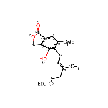 CCOC(=O)CC/C(C)=C/Cc1c(OC)cc2c(c1O)COC2=O